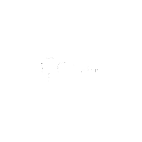 CCCCCCCCCCCC1CCCCC(=O)O1